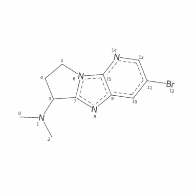 CN(C)C1CCn2c1nc1cc(Br)cnc12